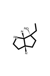 CC[C@@]1(O)CC[C@@H]2CCN[C@@H]21